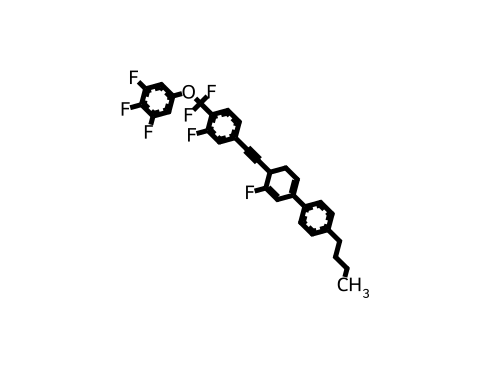 CCCCc1ccc(C2=CCC(C#Cc3ccc(C(F)(F)Oc4cc(F)c(F)c(F)c4)c(F)c3)C(F)=C2)cc1